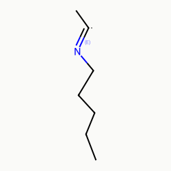 C/[C]=N/CCCCC